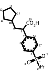 CC(C)S(=O)(=O)c1ccc(C(CC2CCCC2)C(=O)O)cc1